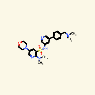 CN(C)Cc1ccc(-c2cncc(NS(=O)(=O)c3cc(N4CCOCC4)cnc3N(C)C)c2)cc1